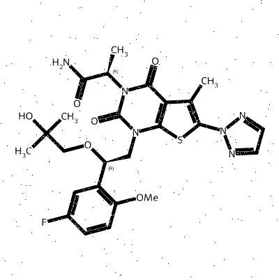 COc1ccc(F)cc1[C@H](Cn1c(=O)n([C@H](C)C(N)=O)c(=O)c2c(C)c(-n3nccn3)sc21)OCC(C)(C)O